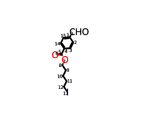 O=Cc1ccc(C(=O)OCCCCCI)cc1